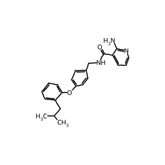 CC(C)Cc1ccccc1Oc1ccc(CNC(=O)c2cccnc2N)cc1